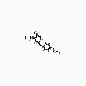 CCc1ccc(Sc2ccc(O)c(N)c2)cc1